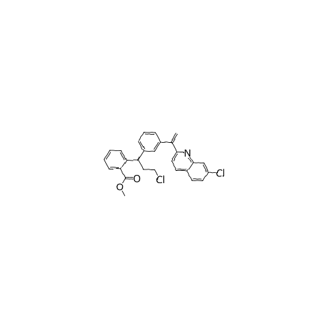 C=C(c1cccc(C(CCCl)c2ccccc2C(=O)OC)c1)c1ccc2ccc(Cl)cc2n1